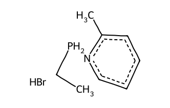 Br.CCP.Cc1ccccn1